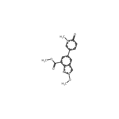 COC(=O)c1cc(-c2ccc(=O)n(C)c2)cc2cn(OC)nc12